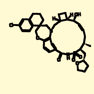 C[C@H]1C/C=C\[C@H](O)[C@@H]2CC[C@H]2CN2C[C@@]3(CCCc4cc(Cl)ccc43)COc3ccc(cc32)C(=O)NS(=O)(=O)[C@@H]1C[C@@H]1CCCO1